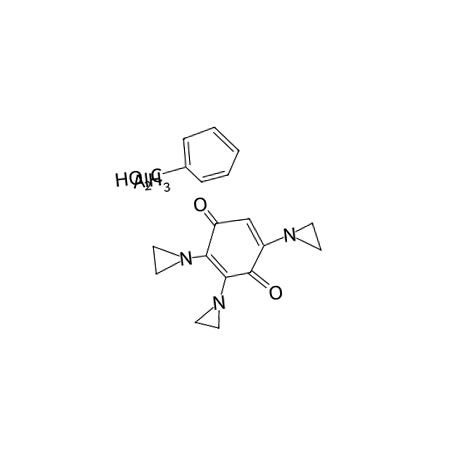 O=C(O)c1ccccc1.O=C1C=C(N2CC2)C(=O)C(N2CC2)=C1N1CC1.[AlH3]